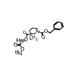 CC(C)(C)OC(=O)NOC(=O)C1(C)CCCN(C(=O)OCc2ccccc2)C1